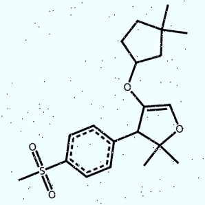 CC1(C)CCC(OC2=COC(C)(C)C2c2ccc(S(C)(=O)=O)cc2)C1